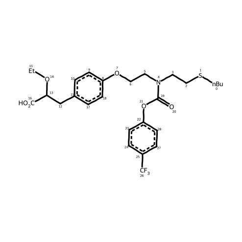 CCCCSCCN(CCOc1ccc(CC(OCC)C(=O)O)cc1)C(=O)Oc1ccc(C(F)(F)F)cc1